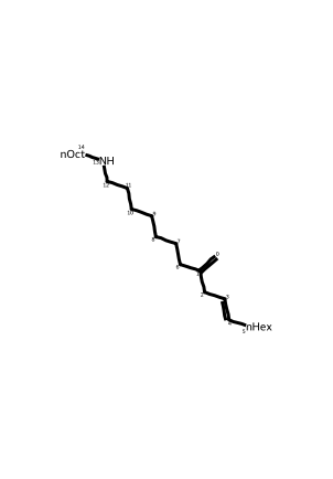 C=C(C/C=C/CCCCCC)CCCCCCCNCCCCCCCC